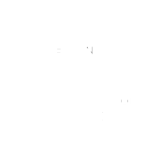 N#CC(CCC(=O)O)c1ccccc1F